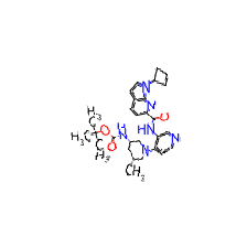 C[C@@H]1C[C@H](NC(=O)OC(C)(C)C)CN(c2ccncc2NC(=O)c2ccc3ccn(C4CCC4)c3n2)C1